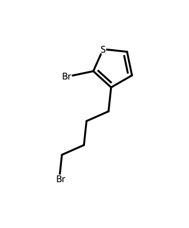 BrCCCCc1ccsc1Br